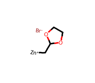 [Br-].[Zn+][CH2]C1OCCO1